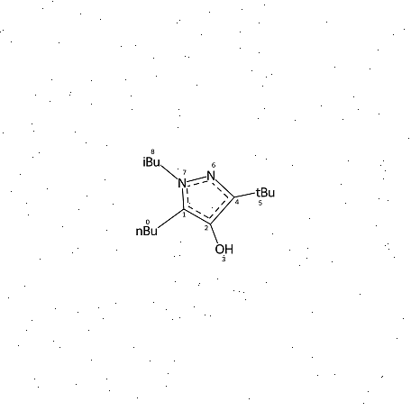 CCCCc1c(O)c(C(C)(C)C)nn1C(C)CC